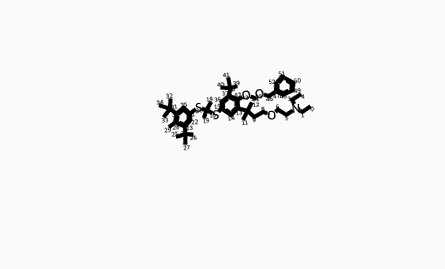 CCN(CC)CCOCCC(C)(C)c1cc(SC(C)(C)Sc2cc(C(C)(C)C)c(C)c(C(C)(C)C)c2)cc(C(C)(C)C)c1OCOCc1ccccc1